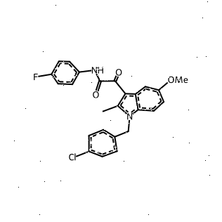 COc1ccc2c(c1)c(C(=O)C(=O)Nc1ccc(F)cc1)c(C)n2Cc1ccc(Cl)cc1